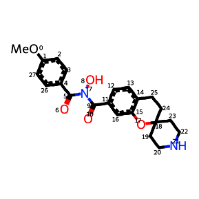 COc1ccc(C(=O)N(O)C(=O)c2ccc3c(c2)OC2(CCNCC2)CC3)cc1